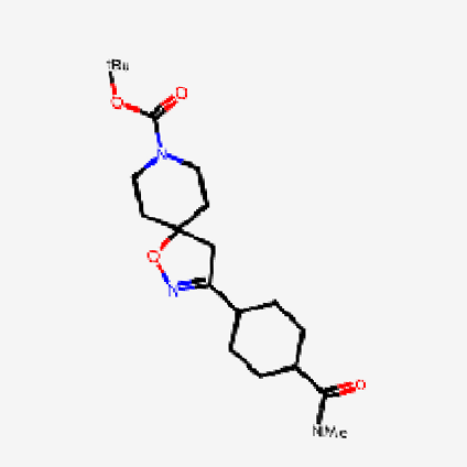 CNC(=O)C1CCC(C2=NOC3(CCN(C(=O)OC(C)(C)C)CC3)C2)CC1